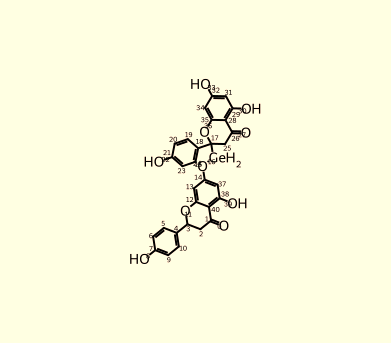 O=C1CC(c2ccc(O)cc2)Oc2cc([O][GeH2][C]3(c4ccc(O)cc4)CC(=O)c4c(O)cc(O)cc4O3)cc(O)c21